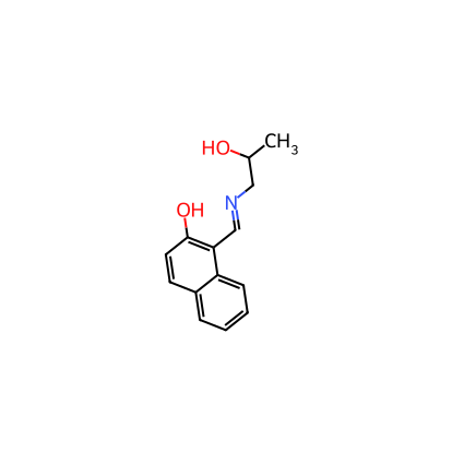 CC(O)CN=Cc1c(O)ccc2ccccc12